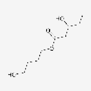 CCC(O)CC(=O)OCCCCO